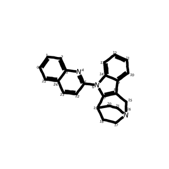 c1ccc2nc(-n3c4c(c5ccccc53)CN3CCC4CC3)ccc2c1